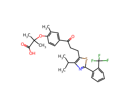 Cc1cc(C(=O)CCc2sc(-c3ccccc3C(F)(F)F)nc2C(C)C)ccc1OC(C)(C)C(=O)O